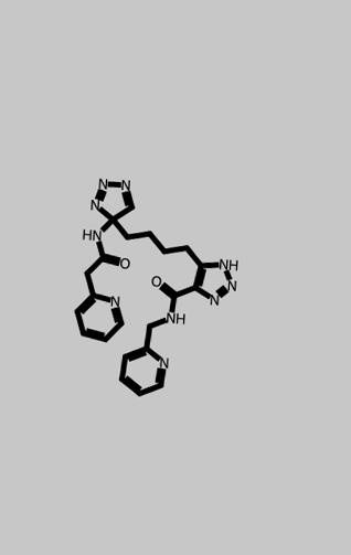 O=C(Cc1ccccn1)NC1(CCCCc2[nH]nnc2C(=O)NCc2ccccn2)C=NN=N1